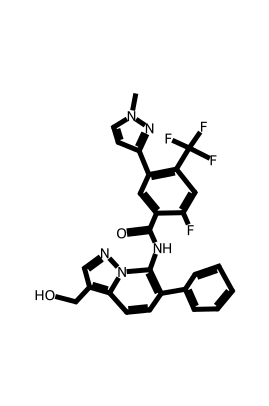 Cn1ccc(-c2cc(C(=O)Nc3c(-c4ccccc4)ccc4c(CO)cnn34)c(F)cc2C(F)(F)F)n1